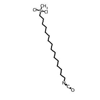 C[Si](Cl)(Cl)CCCCCCCCCCCCCCCCN=C=O